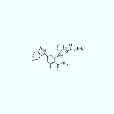 Cc1nn(-c2cc(F)c(C(N)=O)c(N[C@H]3CCC[C@@H]3OC(=O)CN)c2)c2c1CCC(C)(C)C2